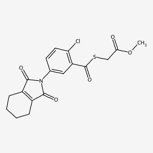 COC(=O)CSC(=O)c1cc(N2C(=O)C3=C(CCCC3)C2=O)ccc1Cl